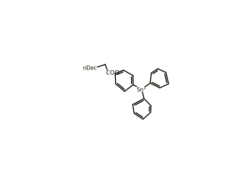 CCCCCCCCCCCC(=O)[O-].c1cc[c]([Sn+]([c]2ccccc2)[c]2ccccc2)cc1